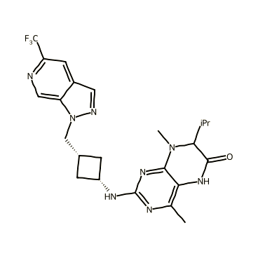 Cc1nc(N[C@H]2C[C@@H](Cn3ncc4cc(C(F)(F)F)ncc43)C2)nc2c1NC(=O)C(C(C)C)N2C